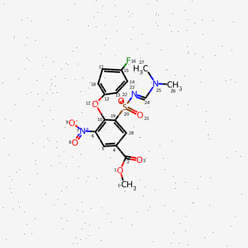 COC(=O)c1cc([N+](=O)[O-])c(Oc2ccc(F)cc2)c(S(=O)(=O)N=CN(C)C)c1